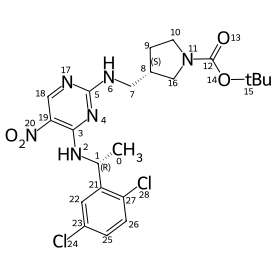 C[C@@H](Nc1nc(NC[C@@H]2CCN(C(=O)OC(C)(C)C)C2)ncc1[N+](=O)[O-])c1cc(Cl)ccc1Cl